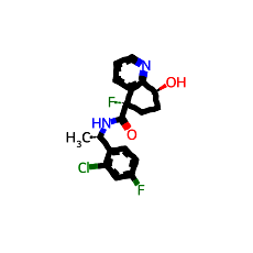 C[C@H](NC(=O)[C@]1(F)CC[C@H](O)c2ncccc21)c1ccc(F)cc1Cl